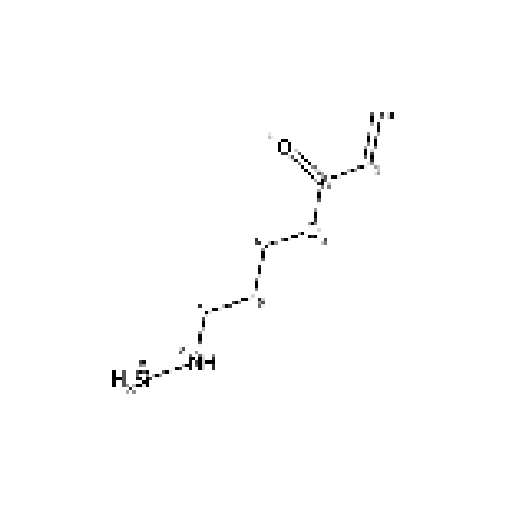 C=CC(=O)OCCCN[SiH3]